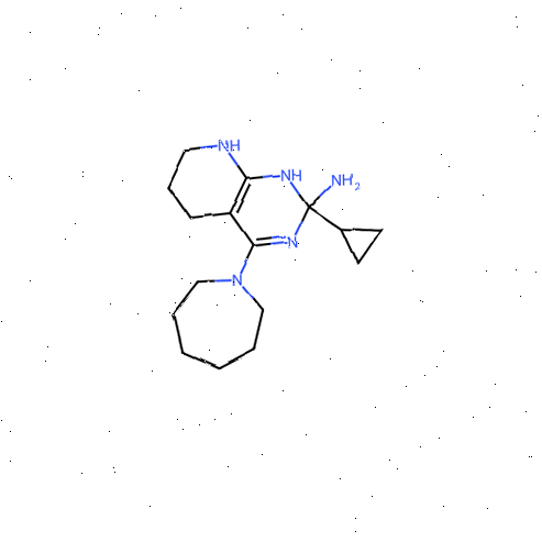 NC1(C2CC2)N=C(N2CCCCCC2)C2=C(NCCC2)N1